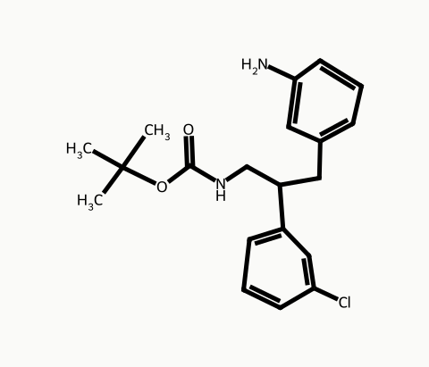 CC(C)(C)OC(=O)NCC(Cc1cccc(N)c1)c1cccc(Cl)c1